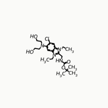 CCn1c(CNC(=O)OC(C)(C)C)[n+](CC)c2cc(Cl)c(N(CCO)CCO)cc21